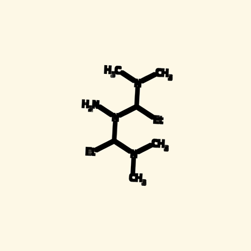 CCC(N(C)C)N(N)C(CC)N(C)C